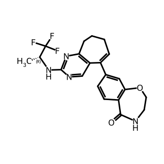 C[C@@H](Nc1ncc2c(n1)CCCC=C2c1ccc2c(c1)OCCNC2=O)C(F)(F)F